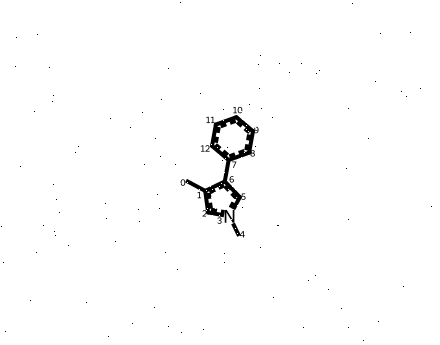 Cc1cn(C)cc1-c1ccccc1